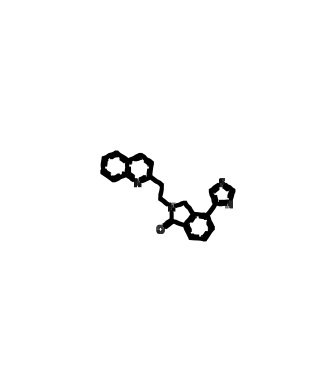 O=C1c2cccc(-c3cscn3)c2CN1CCc1ccc2ccccc2n1